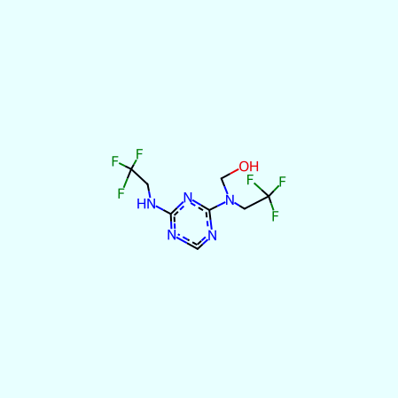 OCN(CC(F)(F)F)c1ncnc(NCC(F)(F)F)n1